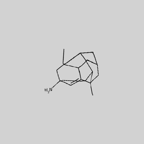 CC12CC3CC4C1=CC1(N)CC2C(C3)C4(C)C1